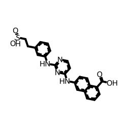 O=C(O)c1cccc2cc(Nc3ccnc(Nc4cccc(CC[SH](=O)=O)c4)n3)ccc12